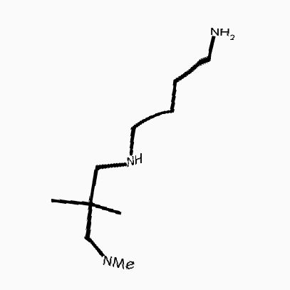 CNCC(C)(C)CNCCCCN